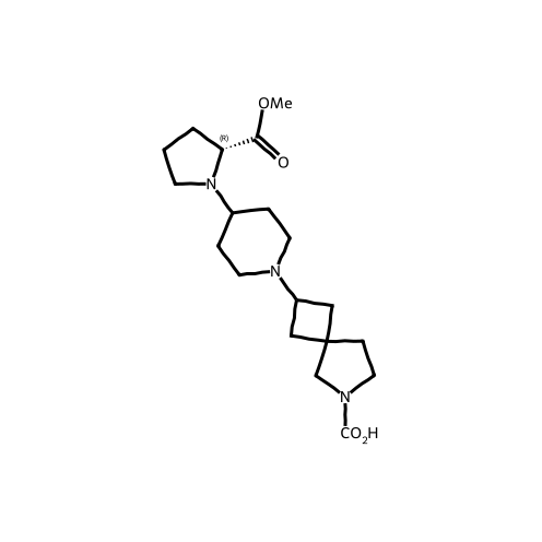 COC(=O)[C@H]1CCCN1C1CCN(C2CC3(CCN(C(=O)O)C3)C2)CC1